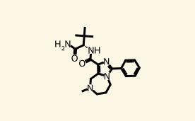 CN1CCCn2c(-c3ccccc3)nc(C(=O)N[C@H](C(N)=O)C(C)(C)C)c2C1